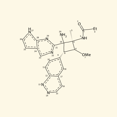 CCC(=O)N[C@@]1(C)C(OC)[C@H](c2ccc3nnccc3c2)C1(N)c1ncc2cc[nH]c2n1